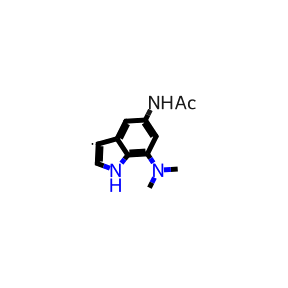 CC(=O)Nc1cc(N(C)C)c2[nH]c[c]c2c1